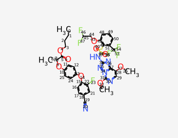 CCCCOC(=O)[C@@H](C)Oc1ccc(Oc2ccc(C#N)cc2F)cc1.COc1cnc(OC)n2nc(NS(=O)(=O)c3c(OCC(F)F)cccc3C(F)(F)F)nc12